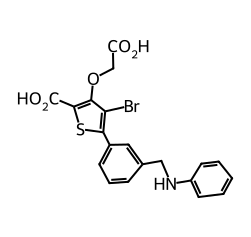 O=C(O)COc1c(C(=O)O)sc(-c2cccc(CNc3ccccc3)c2)c1Br